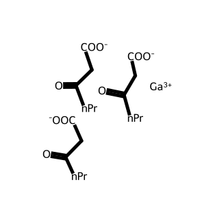 CCCC(=O)CC(=O)[O-].CCCC(=O)CC(=O)[O-].CCCC(=O)CC(=O)[O-].[Ga+3]